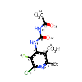 CCc1nc(Cl)c(F)c(NC(=O)NC(=O)C(Cl)(Cl)Cl)c1C(=O)O